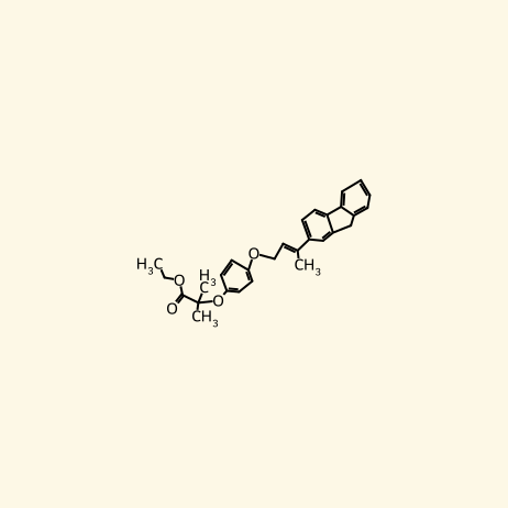 CCOC(=O)C(C)(C)Oc1ccc(OC/C=C(\C)c2ccc3c(c2)Cc2ccccc2-3)cc1